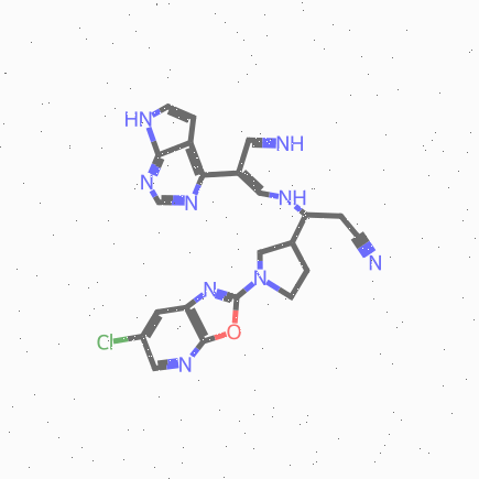 N#CCC(N/C=C(\C=N)c1ncnc2[nH]ccc12)C1CCN(c2nc3cc(Cl)cnc3o2)C1